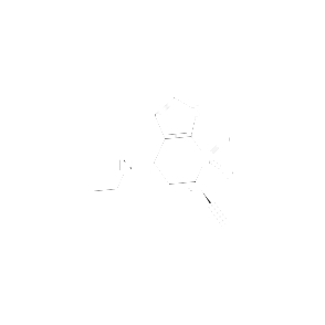 C#C[C@H]1C[C@H](NCC)c2ccsc2S1(=O)=O